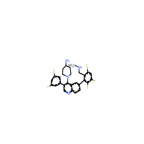 NC1CCN(c2c(-c3cc(F)cc(F)c3)cnc3ccc(-c4c(F)c(F)cc(F)c4CNC(=O)O)cc23)CC1